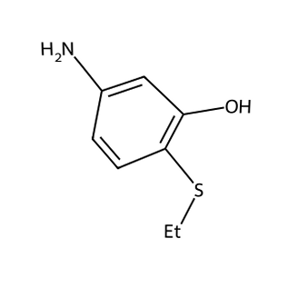 CCSc1ccc(N)cc1O